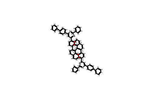 c1ccc(-c2ccc(-c3cc(-c4ccc(-c5ccc6ccccc6c5-c5c(-c6ccc(-c7cc(-c8ccc(-c9ccccc9)cc8)nc(-c8ccccc8)n7)cc6)ccc6ccccc56)cc4)nc(-c4ccccc4)n3)cc2)cc1